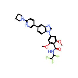 COc1cc(-n2cnc3cc(-c4ccc(N5CCCC5)nc4)ccc32)cc(OC)c1C(=O)NC(F)C(F)F